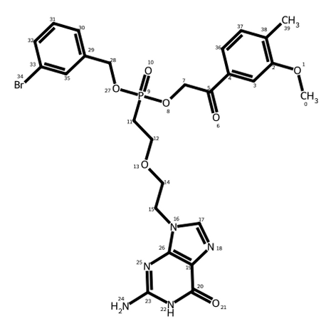 COc1cc(C(=O)COP(=O)(CCOCCn2cnc3c(=O)[nH]c(N)nc32)OCc2cccc(Br)c2)ccc1C